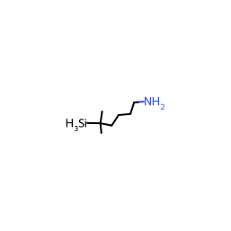 CC(C)([SiH3])CCCCN